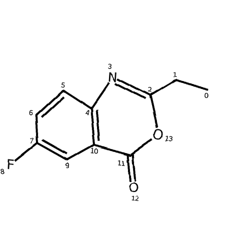 CCc1nc2ccc(F)cc2c(=O)o1